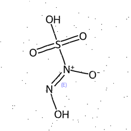 O=S(=O)(O)/[N+]([O-])=N/O